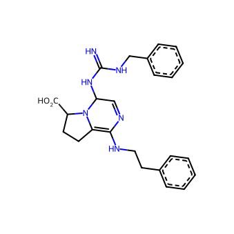 N=C(NCc1ccccc1)NC1C=NC(NCCc2ccccc2)=C2CCC(C(=O)O)N21